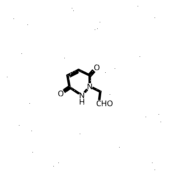 O=CCn1[nH]c(=O)ccc1=O